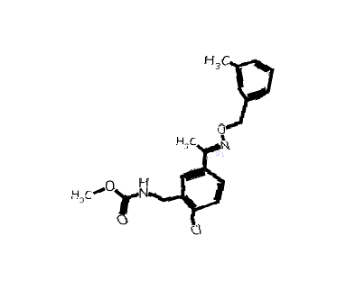 COC(=O)NCc1cc(/C(C)=N/OCc2cccc(C)c2)ccc1Cl